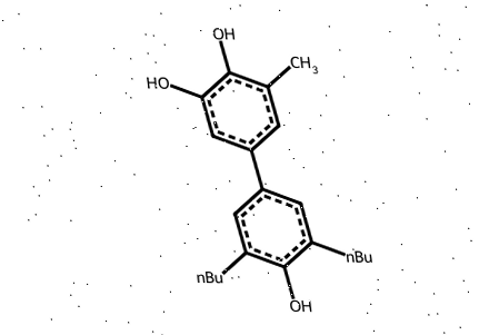 CCCCc1cc(-c2cc(C)c(O)c(O)c2)cc(CCCC)c1O